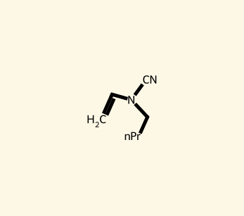 C=CN(C#N)CCCC